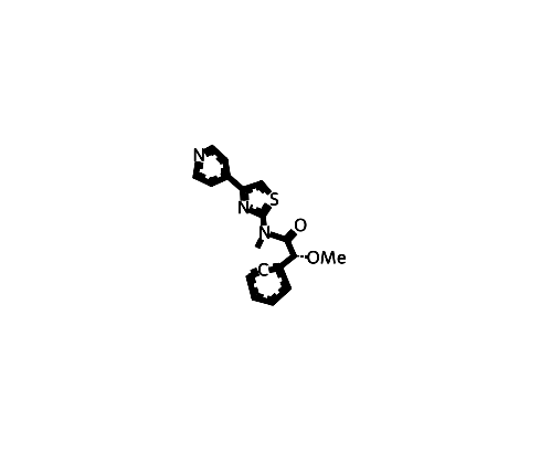 CO[C@@H](C(=O)N(C)c1nc(-c2ccncc2)cs1)c1ccccc1